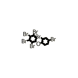 Brc1ccc(Oc2cc(Br)c(Br)c(Br)c2Br)c(Br)c1